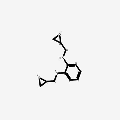 c1ccc(SCC2CS2)c(SCC2CO2)c1